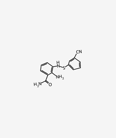 N#Cc1cccc(SNc2cccc(C(N)=O)c2N)c1